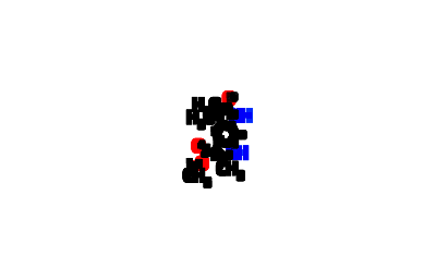 CCOC(=O)c1c(C)[nH]c2cc3c(cc12)C(C)(C)C(=O)N3